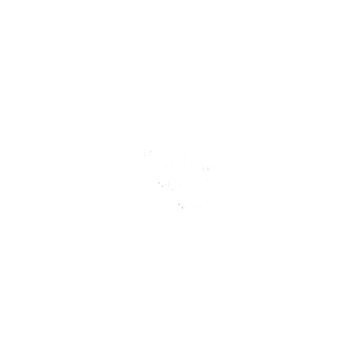 CCC(N)=O.Cl.c1ccncc1